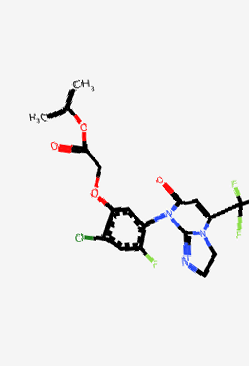 CC(C)OC(=O)COc1cc(N2C(=O)C=C(C(F)(F)F)N3CCN=C32)c(F)cc1Cl